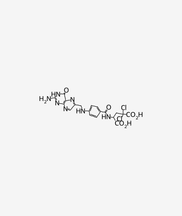 Nc1nc2ncc(CNc3ccc(C(=O)NC(CC(Cl)(Cl)C(=O)O)C(=O)O)cc3)nc2c(=O)[nH]1